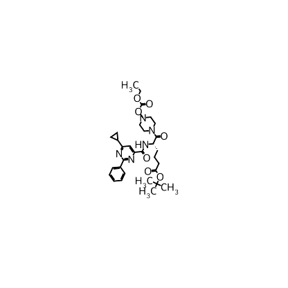 CCOC(=O)ON1CCN(C(=O)[C@H](CCCC(=O)OC(C)(C)C)NC(=O)c2cc(C3CC3)nc(-c3ccccc3)n2)CC1